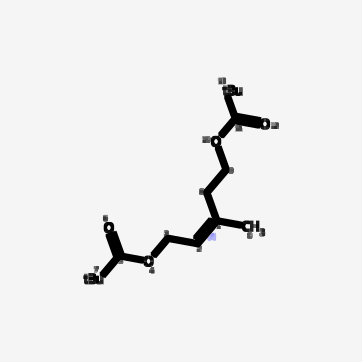 C/C(=C/COC(=O)C(C)(C)C)CCOC(=O)C(C)(C)C